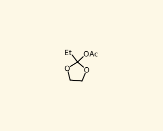 CCC1(OC(C)=O)OCCO1